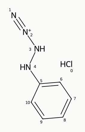 Cl.N#[N+]NNc1ccccc1